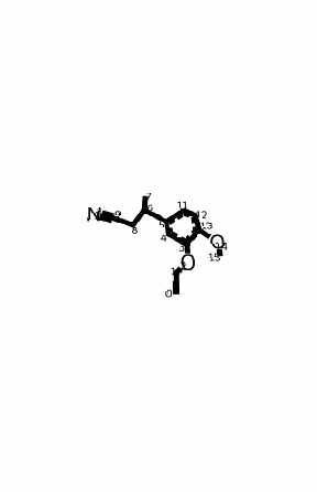 CCOc1cc(C(C)CC#N)ccc1OC